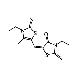 CCN1C(=O)/C(=C\c2sc(=S)n(CC)c2C)SC1=S